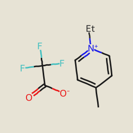 CC[n+]1ccc(C)cc1.O=C([O-])C(F)(F)F